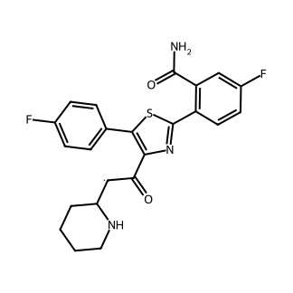 NC(=O)c1cc(F)ccc1-c1nc(C(=O)[CH]C2CCCCN2)c(-c2ccc(F)cc2)s1